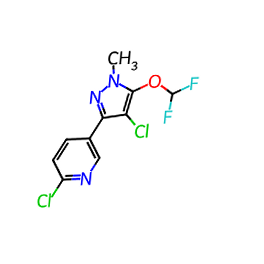 Cn1nc(-c2ccc(Cl)nc2)c(Cl)c1OC(F)F